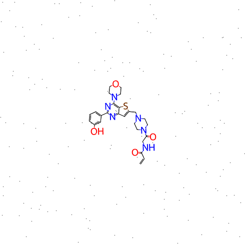 C=CC(=O)NCC(=O)N1CCN(Cc2cc3nc(-c4cccc(O)c4)nc(N4CCOCC4)c3s2)CC1